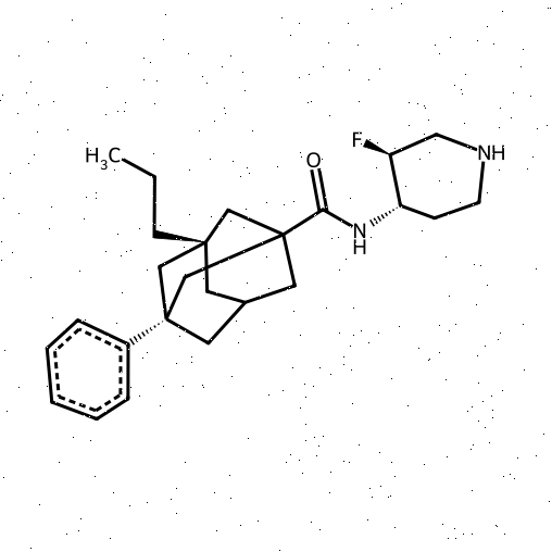 CCC[C@]12CC3CC(C(=O)N[C@H]4CCNC[C@@H]4F)(C1)C[C@@](c1ccccc1)(C3)C2